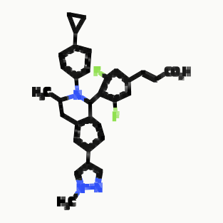 CC1Cc2cc(-c3cnn(C)c3)ccc2C(c2c(F)cc(/C=C/C(=O)O)cc2F)N1c1ccc(C2CC2)cc1